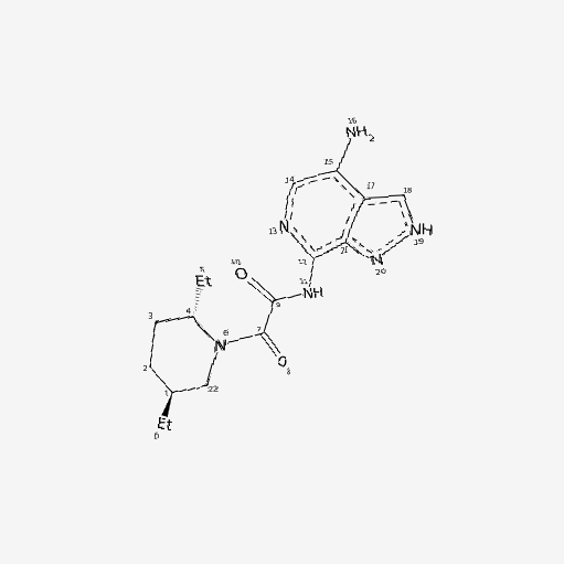 CC[C@H]1CC[C@H](CC)N(C(=O)C(=O)Nc2ncc(N)c3c[nH]nc23)C1